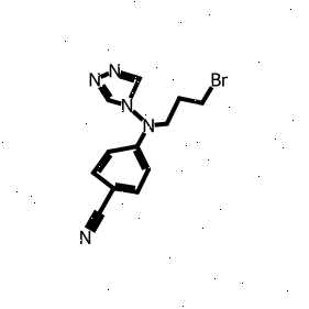 N#Cc1ccc(N(CCCBr)n2cnnc2)cc1